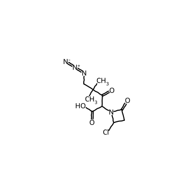 CC(C)(CN=[N+]=[N-])C(=O)C(C(=O)O)N1C(=O)CC1Cl